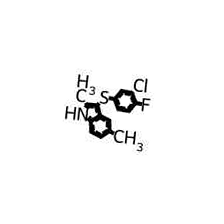 Cc1ccc2[nH]c(C)c(Sc3ccc(F)c(Cl)c3)c2c1